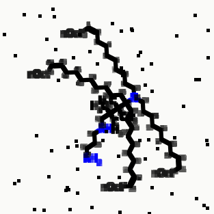 CCCCCCCC/C=C\CCCCCCCCN(CCCCCCCC/C=C\CCCCCCCC)C(CCCCCCCC/C=C\CCCCCCCC)(CCCCCCCC/C=C\CCCCCCCC)C(C)(C)C(C)(C)CNCCCN